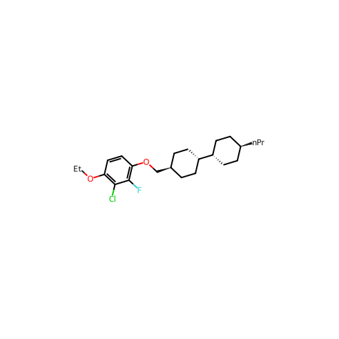 CCC[C@H]1CC[C@H]([C@H]2CC[C@H](COc3ccc(OCC)c(Cl)c3F)CC2)CC1